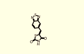 O=C1NC(=O)/C(=C/c2ccc3nsnc3c2)S1